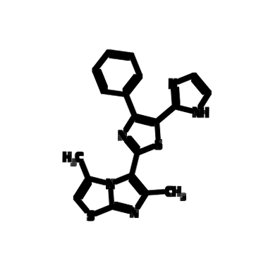 Cc1nc2scc(C)n2c1-c1nc(-c2ccccc2)c(-c2ncc[nH]2)s1